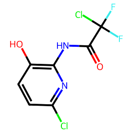 O=C(Nc1nc(Cl)ccc1O)C(F)(F)Cl